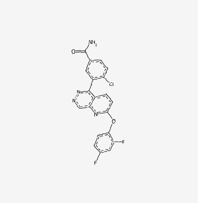 NC(=O)c1ccc(Cl)c(-c2nncc3nc(Oc4ccc(F)cc4F)ccc23)c1